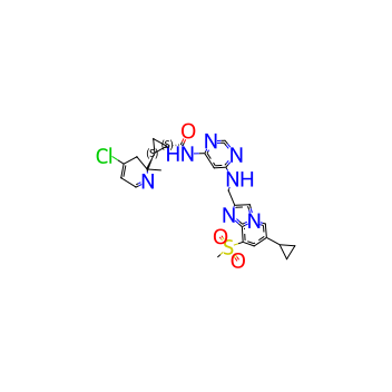 CC1([C@H]2C[C@@H]2C(=O)Nc2cc(NCc3cn4cc(C5CC5)cc(S(C)(=O)=O)c4n3)ncn2)CC(Cl)=CC=N1